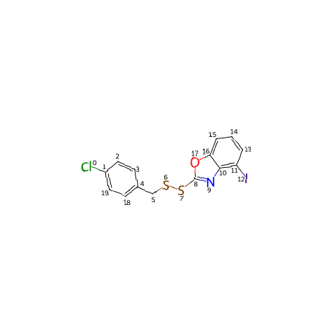 Clc1ccc(CSSc2nc3c(I)cccc3o2)cc1